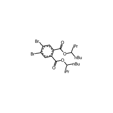 CCCCC(OC(=O)c1cc(Br)c(Br)cc1C(=O)OC(CCCC)C(C)C)C(C)C